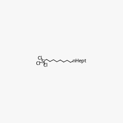 CCCCCCCCCCCCCCC[Si](Cl)(Cl)Cl